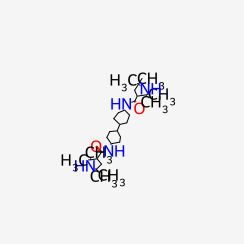 CC1(C)CC(C(=O)NC2CCC(C3CCC(NC(=O)C4CC(C)(C)NC4(C)C)CC3)CC2)C(C)(C)N1